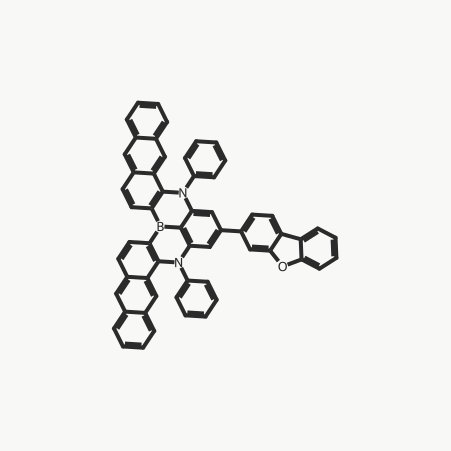 c1ccc(N2c3cc(-c4ccc5c(c4)oc4ccccc45)cc4c3B(c3ccc5cc6ccccc6cc5c32)c2ccc3cc5ccccc5cc3c2N4c2ccccc2)cc1